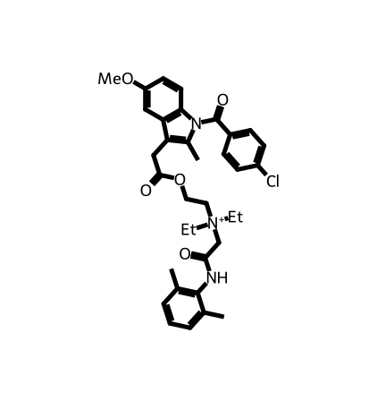 CC[N+](CC)(CCOC(=O)Cc1c(C)n(C(=O)c2ccc(Cl)cc2)c2ccc(OC)cc12)CC(=O)Nc1c(C)cccc1C